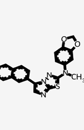 CN(c1ccc2c(c1)OCO2)c1nn2c(-c3ccc4ccccc4c3)cnc2s1